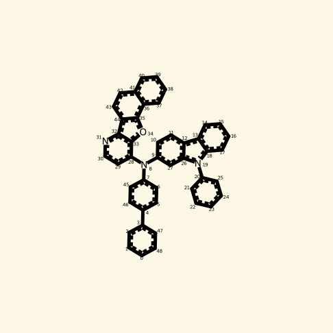 c1ccc(-c2ccc(N(c3ccc4c5ccccc5n(-c5ccccc5)c4c3)c3ccnc4c3oc3c5ccccc5ccc43)cc2)cc1